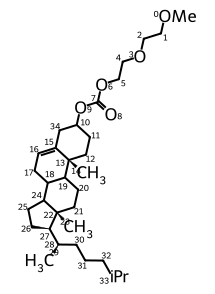 COCCOCCOC(=O)OC1CC[C@@]2(C)C(=CCC3C2CC[C@@]2(C)C3CC[C@@H]2[C@H](C)CCCC(C)C)C1